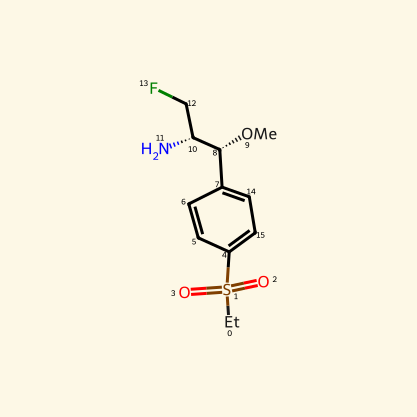 CCS(=O)(=O)c1ccc([C@@H](OC)[C@H](N)CF)cc1